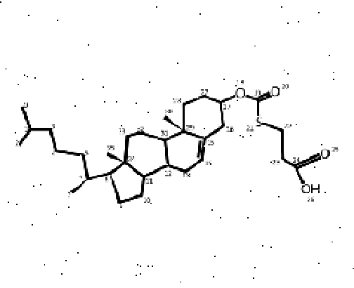 CC(C)CCC[C@H](C)[C@@H]1CCC2C3CC=C4CC(OC(=O)SCCC(=O)O)CC[C@@]4(C)C3CC[C@]21C